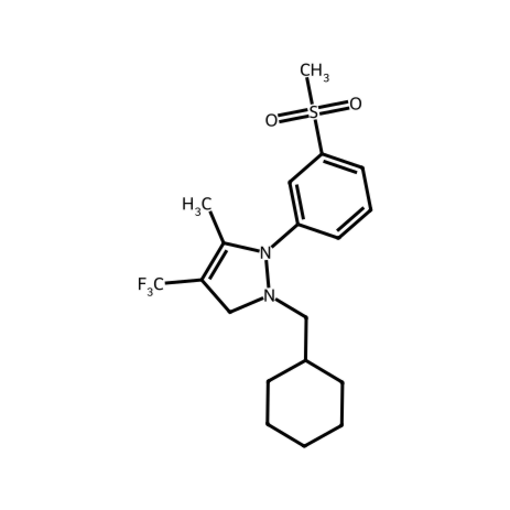 CC1=C(C(F)(F)F)CN(CC2CCCCC2)N1c1cccc(S(C)(=O)=O)c1